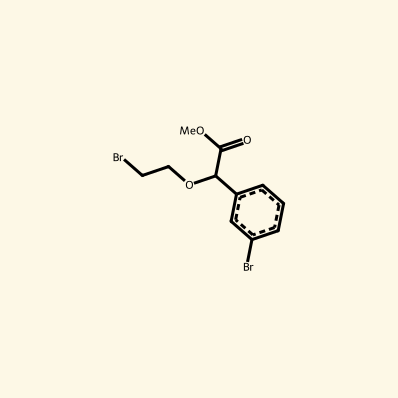 COC(=O)C(OCCBr)c1cccc(Br)c1